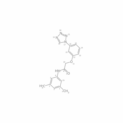 Cc1cc(C)cc(NC(=O)COc2cccc(-n3cnnn3)c2)c1